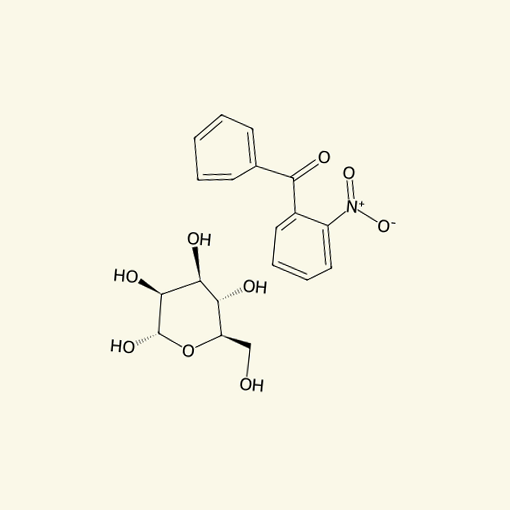 O=C(c1ccccc1)c1ccccc1[N+](=O)[O-].OC[C@H]1O[C@H](O)[C@@H](O)[C@@H](O)[C@@H]1O